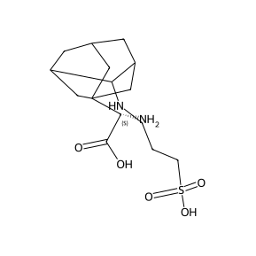 N[C@H](C(=O)O)C12CC3CC(C1)C(NCCCS(=O)(=O)O)C(C3)C2